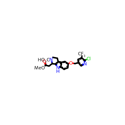 COC(=O)CC1c2[nH]c3ccc(OCc4cnc(Cl)c(C(F)(F)F)c4)cc3c2CCN1C(=O)O